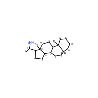 CC(N)C1CCC2C3CC=C4CCCCC4(C)C3CCC12C